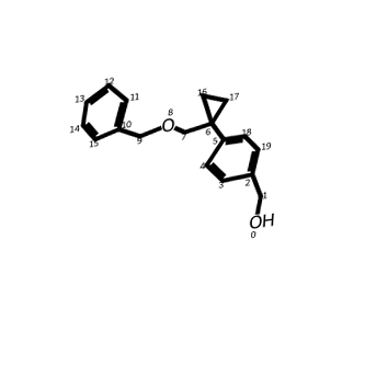 OCc1ccc(C2(COCc3ccccc3)CC2)cc1